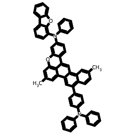 Cc1ccc2c(-c3ccc(N(c4ccccc4)c4ccccc4)cc3)cc3c4cc(C)cc5c4c(cc3c2c1)-c1ccc(N(c2ccccc2)c2cccc3c2oc2ccccc23)cc1O5